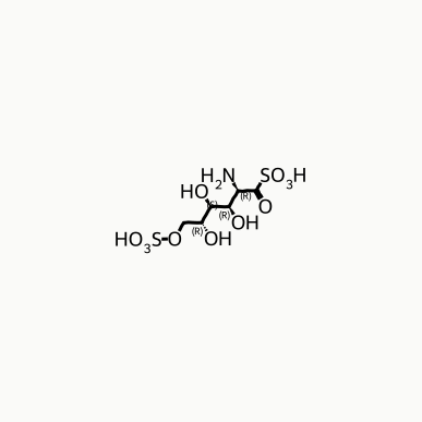 N[C@@H](C(=O)S(=O)(=O)O)[C@@H](O)[C@H](O)[C@H](O)COS(=O)(=O)O